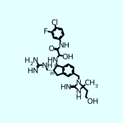 CC1(CCO)NC(=N)N1Cc1ccc2c(c1)C[C@H](CNC(=N)N)[C@H]2NC(O)C(=O)Nc1ccc(Cl)c(F)c1